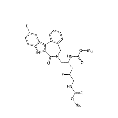 CC(C)(C)OC(=O)NC[C@@H](F)C[C@H](CN1Cc2ccccc2-c2c([nH]c3ccc(F)cc23)C1=O)NC(=O)OC(C)(C)C